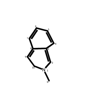 CN1C=c2ccccc2=CC1